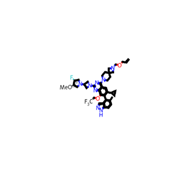 C=CCOCN1CC2(CCN(c3nc(N4CC(N5C[C@H](OC)[C@@H](F)C5)C4)nc4c(OCC(F)(F)F)c(-c5c(C)ccc6[nH]ncc56)c(C5CC5)cc34)CC2)C1